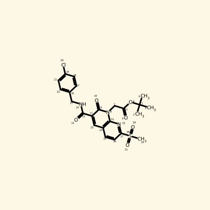 CC(C)(C)OC(=O)Cn1c(=O)c(C(=O)NCc2ccc(Cl)cc2)cc2ccc(S(C)(=O)=O)nc21